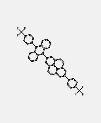 FC(F)(F)c1ccc(-c2c3ccccc3c(-c3cc4ccc5cc(-c6ccc(C(F)(F)F)nc6)cc6ccc(c3)c4c56)c3ccccc23)cc1